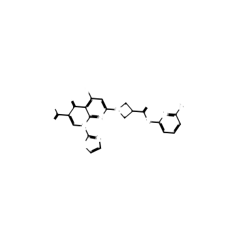 Cc1cc(N2CC(C(=O)Nc3cccc(N)n3)C2)nc2c1c(=O)c(C(=O)O)cn2-c1nccs1